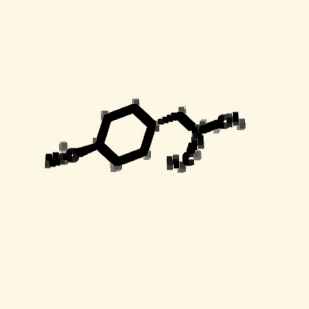 CO[C@H]1CC[C@H](C[SH](C)C)CC1